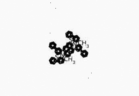 Cc1ccc2c(sc3ccccc32)c1N(c1ccc(-c2ccccc2)cc1)c1ccc2ccc3c(N(c4ccc(-c5ccccc5)cc4)c4c(C)ccc5c4sc4ccccc45)ccc4ccc1c2c43